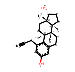 C#CCc1cc(O)cc2c1[C@H]1CC[C@]3(C)[C@H](O)CC[C@H]3[C@@H]1CC2